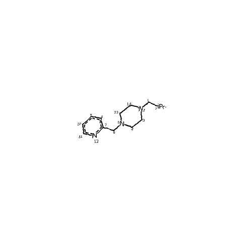 C[C](C)CN1CCN(Cc2ccccn2)CC1